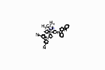 C=C/C=C(\C=C/C)[Si](c1ccccc1)(c1ccc(-n2c3ccccc3c3c4oc5ccccc5c4ccc32)cc1)c1cccc(-n2c3ccc(C#N)cc3c3cc(C#N)ccc32)c1